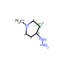 CN1CCC(NN)CC1.Cl